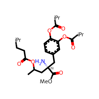 COC(=O)[C@](N)(Cc1ccc(OC(=O)C(C)C)c(OC(=O)C(C)C)c1)CC(C)OC(=O)CCC(C)C